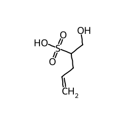 C=CCC(CO)S(=O)(=O)O